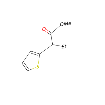 CCC(C(=O)OC)c1cccs1